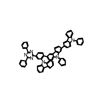 c1ccc(-c2nc(-c3ccccc3)nc(-c3ccc(-c4ccc5c(c4)c4ccc(-c6ccc7c(c6)c6ccccc6n7-c6ccccc6)cc4n5-c4ccccc4)c(-n4c5ccccc5c5ccccc54)c3)n2)cc1